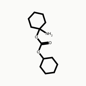 NC1(OC(=O)OC2CCCCC2)CCCCC1